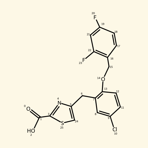 O=C(O)c1nc(Cc2cc(Cl)ccc2OCc2ccc(F)cc2F)cs1